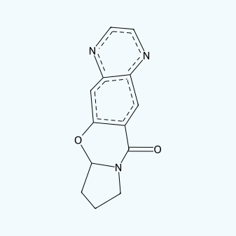 O=C1c2cc3nccnc3cc2OC2CCCN12